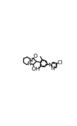 Cc1cc(-n2cc(Cl)cn2)cc(C)c1C1C(=O)N2CCCCN2C1O